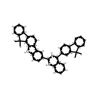 CC1(C)c2ccccc2-c2ccc(-c3nc(-c4ccc5oc6c7c(ccc6c5c4)-c4ccccc4C7(C)C)nc4ccccc34)cc21